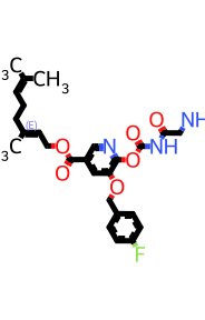 CC(C)=CCC/C(C)=C/COC(=O)c1cnc(OC(=O)NC(=O)CN)c(OCc2ccc(F)cc2)c1